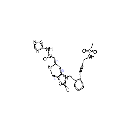 C/C=c1/oc(=O)n(Cc2ccccc2C#CCNS(C)(=O)=O)/c1=C/C(Br)=C/[S+]([O-])Nc1ncns1